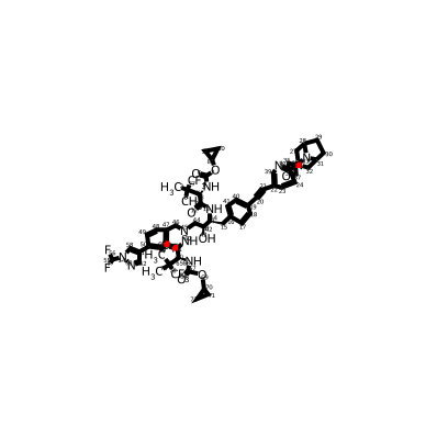 CC(C)([C@H](NC(=O)OC1CC1)C(=O)N[C@@H](Cc1ccc(C#Cc2ccc(N3CC4CCC(C3)N4C3COC3)nc2)cc1)[C@@H](O)CN(Cc1ccc(-c2cnn(C(F)F)c2)cc1F)NC(=O)[C@@H](NC(=O)OC1CC1)C(C)(C)C(F)(F)F)C(F)(F)F